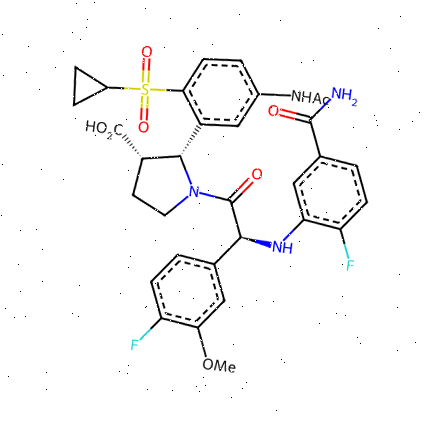 COc1cc([C@H](Nc2cc(C(N)=O)ccc2F)C(=O)N2CC[C@H](C(=O)O)[C@@H]2c2cc(NC(C)=O)ccc2S(=O)(=O)C2CC2)ccc1F